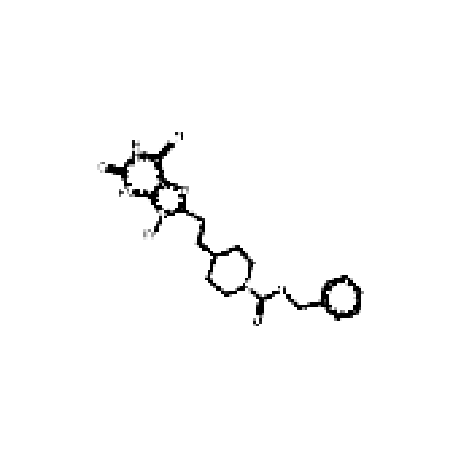 CC(C)n1c(CCC2CCN(C(=O)OCc3ccccc3)CC2)nc2c(=O)[nH]c(=O)[nH]c21